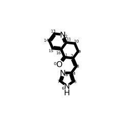 O=C1/C(=C\c2c[nH]cn2)CCc2ncccc21